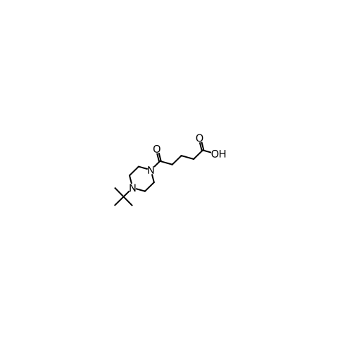 CC(C)(C)N1CCN(C(=O)CCCC(=O)O)CC1